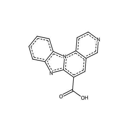 O=C(O)c1cc2cnccc2n2c1nc1ccccc12